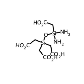 N[Si](N)(CC(=O)O)O[Si](CC(=O)O)(CC(=O)O)CC(=O)O